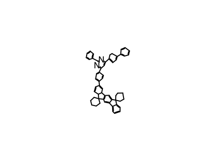 C1=CC2C(C=C1c1ccc(-c3cc(C4=CC=C(c5ccccc5)CC4)nc(-c4ccccc4)n3)cc1)c1cc3c(cc1C21CCCCC1)-c1ccccc1C31CCCCC1